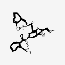 CC(C)Cc1nc2c(C(=O)NCc3ccccc3C(F)(F)F)cc(NC(=O)c3ccccc3C(F)(F)F)cc2[nH]1